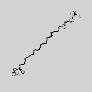 COCOCCCCCCCCCCCCCC(=O)OC